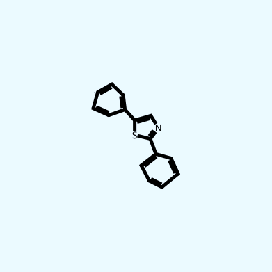 [c]1ccc(-c2cnc(-c3ccccc3)s2)cc1